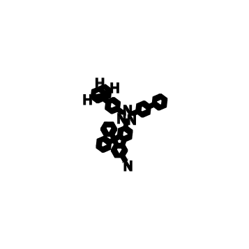 N#Cc1ccc2c(c1)-c1ccc(-c3nc(-c4ccc(-c5ccccc5)cc4)nc(-c4ccc(C56C[C@H]7C[C@H](C5)C[C@@H](C6)C7)cc4)n3)cc1C2(c1ccccc1)c1ccccc1